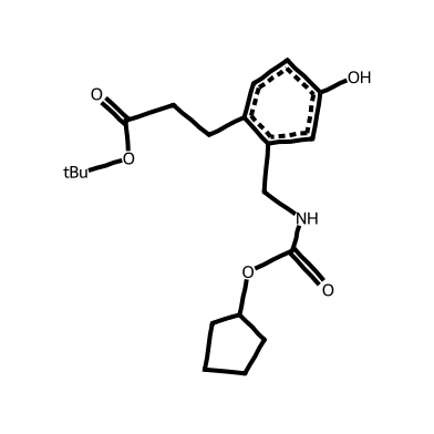 CC(C)(C)OC(=O)CCc1ccc(O)cc1CNC(=O)OC1CCCC1